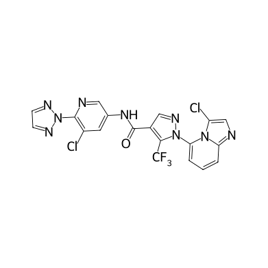 O=C(Nc1cnc(-n2nccn2)c(Cl)c1)c1cnn(-c2cccc3ncc(Cl)n23)c1C(F)(F)F